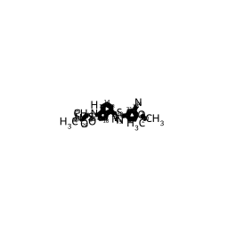 CC(C)Oc1ccc(-c2nnc(-c3cccc4c3CC[C@@H]4N[S+]([O-])CC(=O)N(C)C)s2)cc1C#N